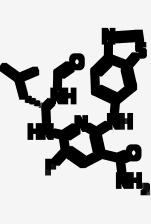 CC(C)C[C@H](NC=O)Nc1nc(Nc2ccc3ncsc3c2)c(C(N)=O)cc1F